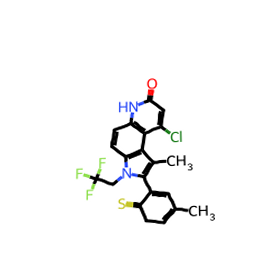 CC1=CCC(=S)C(c2c(C)c3c4c(Cl)cc(=O)[nH]c4ccc3n2CC(F)(F)F)=C1